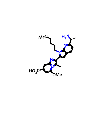 CNCCCCn1c(-c2nc3cc(C(=O)O)cc(OC)n3c2C)cc2ccc([C@@H](C)N)nc21